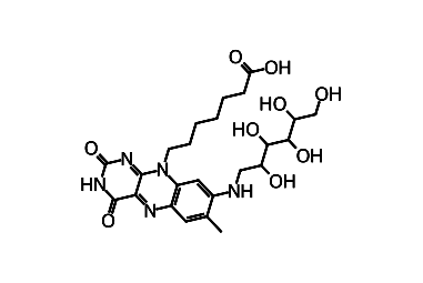 Cc1cc2nc3c(=O)[nH]c(=O)nc-3n(CCCCCCC(=O)O)c2cc1NCC(O)C(O)C(O)C(O)CO